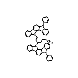 C\C=C/C=C(\N=C\n1c2ccccc2c2ccc3c(c4ccccc4n3-c3ccccc3)c21)n1c2ccccc2c2ccc3c(c4ccccc4n3-c3ccccc3)c21